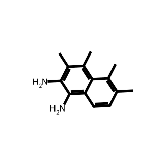 Cc1ccc2c(N)c(N)c(C)c(C)c2c1C